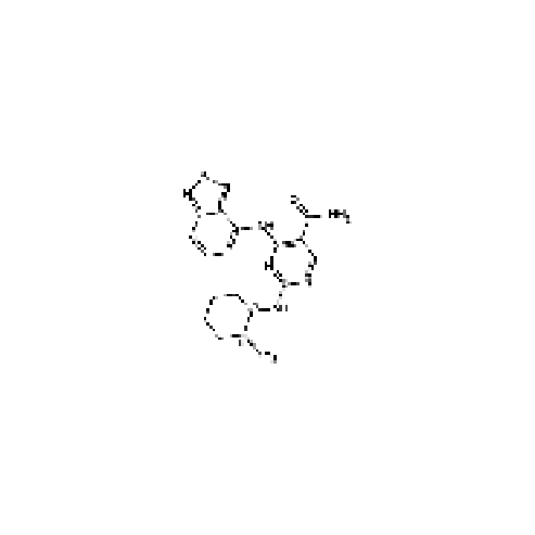 NC(=O)c1cnc(N[C@@H]2CCCC[C@@H]2N)nc1Nc1cccc2nsnc12